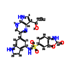 CC(C)(C)C(=O)c1c[nH]c2ncc(-c3cc(NS(=O)(=O)c4ccc5[nH]c(=O)oc5c4)c4cc[nH]c4c3)nc12